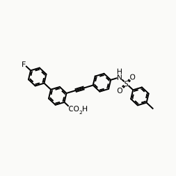 Cc1ccc(S(=O)(=O)Nc2ccc(C#Cc3cc(-c4ccc(F)cc4)ccc3C(=O)O)cc2)cc1